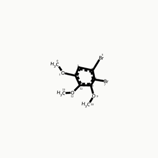 COc1cc(Br)c(Br)c(OC)c1OC